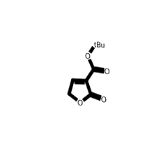 CC(C)(C)OC(=O)C1=CCOC1=O